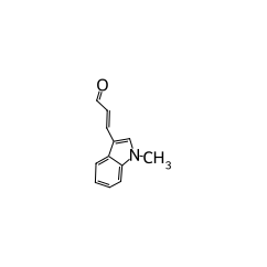 Cn1cc(/C=C/C=O)c2ccccc21